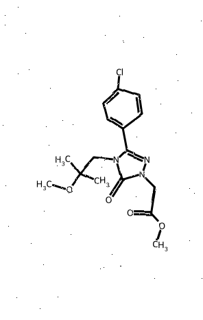 COC(=O)Cn1nc(-c2ccc(Cl)cc2)n(CC(C)(C)OC)c1=O